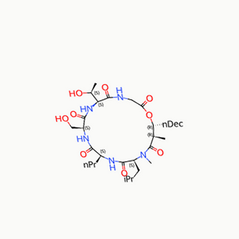 CCCCCCCCCC[C@H]1OC(=O)CNC(=O)[C@H]([C@H](C)O)NC(=O)[C@H](CO)NC(=O)[C@H](CCC)NC(=O)[C@H](CC(C)C)N(C)C(=O)[C@@H]1C